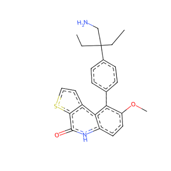 CCC(CC)(CN)c1ccc(-c2c(OC)ccc3[nH]c(=O)c4sccc4c23)cc1